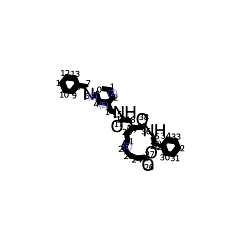 C\C=C/C(=C\C=N\Cc1ccccc1)CNC(=O)C[C@@H]1C/C=C/CCC(=O)O[C@H](c2ccccc2)CNC1=O